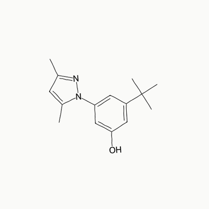 Cc1cc(C)n(-c2cc(O)cc(C(C)(C)C)c2)n1